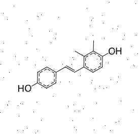 Cc1c(O)ccc(/C=C/c2ccc(O)cc2)c1C